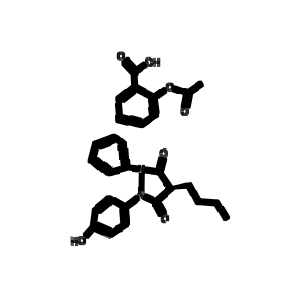 CC(=O)Oc1ccccc1C(=O)O.CCCC[C@@H]1C(=O)N(c2ccccc2)N(c2ccc(O)cc2)C1=O